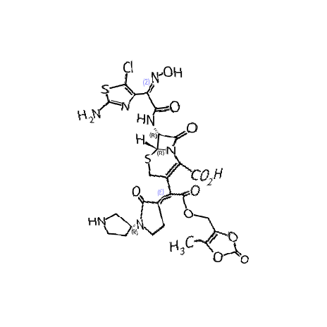 Cc1oc(=O)oc1COC(=O)/C(C1=C(C(=O)O)N2C(=O)[C@@H](NC(=O)/C(=N\O)c3nc(N)sc3Cl)[C@H]2SC1)=C1\CCN([C@@H]2CCNC2)C1=O